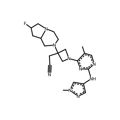 Cc1cnc(Nc2cnn(C)c2)nc1N1CC(CC#N)(N2CCN3CC(F)CC3C2)C1